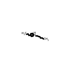 CCCCCCCCNc1ccc(CCCC)cc1